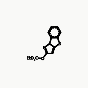 CCOC(=O)OC1=NC2C(=C1)Sc1ccccc12